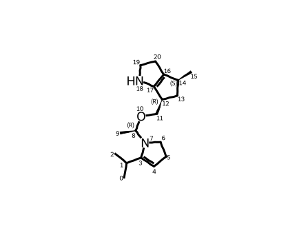 CC(C)C1=CCCN1[C@@H](C)OC[C@@H]1C[C@H](C)C2=C1NCC2